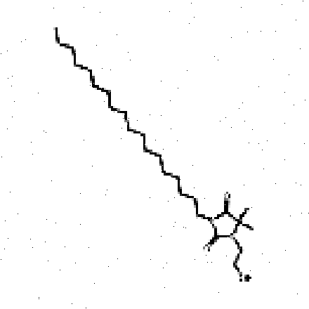 CCCCCCCCCCCCCCCCCCN1C(=O)N(CCO)C(C)(C)C1=O